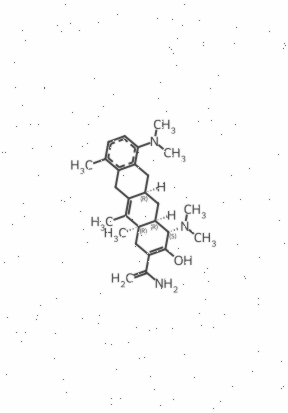 C=C(N)C1=C(O)[C@@H](N(C)C)[C@@H]2C[C@@H]3Cc4c(N(C)C)ccc(C)c4CC3=C(C)[C@]2(C)C1